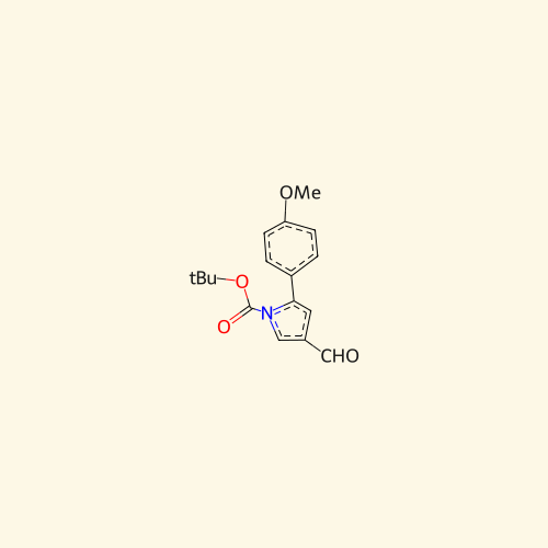 COc1ccc(-c2cc(C=O)cn2C(=O)OC(C)(C)C)cc1